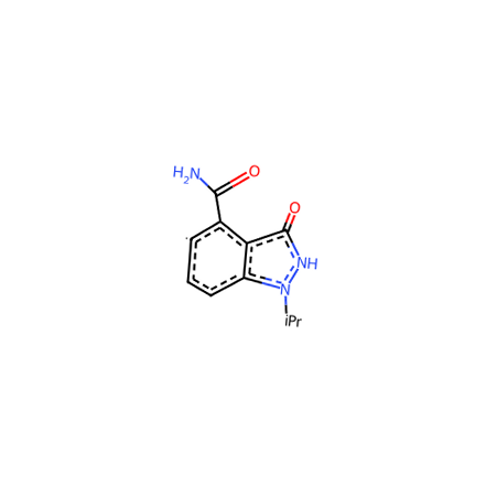 CC(C)n1[nH]c(=O)c2c(C(N)=O)[c]ccc21